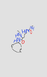 CCNCC(=O)NCCCC(NCC)C(=O)NC1CCCCCCCCCCC1